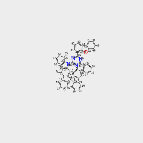 CC1CC(C2(c3ccccc3)c3ccccc3-c3ccccc32)=Cc2c1c1c(n2-c2nc(-c3ccccc3)nc(-c3cccc4c3oc3ccccc34)n2)C(C)CC=C1